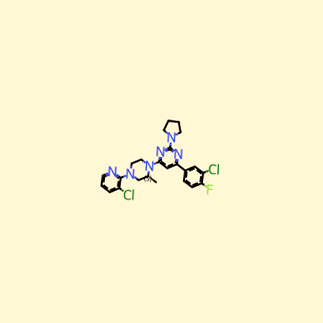 C[C@H]1CN(c2ncccc2Cl)CCN1c1cc(-c2ccc(F)c(Cl)c2)nc(N2CCCC2)n1